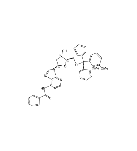 COc1cccc(C(OC[C@H]2O[C@@H](n3cnc4c(NC(=O)c5ccccc5)ncnc43)C[C@@H]2O)(c2ccccc2)c2ccccc2)c1OC